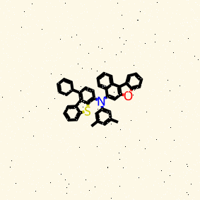 Cc1cc(C)cc(N(c2cc3oc4ccccc4c3c3ccccc23)c2ccc(C3C=CC=CC3)c3c2sc2ccccc23)c1